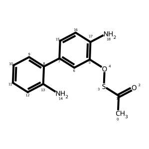 CC(=O)SOc1cc(-c2ccccc2N)ccc1N